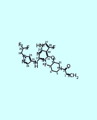 C=CC(=O)N1CC[C@@H](F)[C@@H](Oc2nc(Nc3cnn(CC(F)F)c3)nc3[nH]cc(F)c23)C1